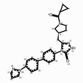 O=C(C1CC1)N1CC[C@@H](Cc2n[nH]c(=O)n2-c2ccc(-c3ccc(-n4cccn4)cc3)cc2)C1